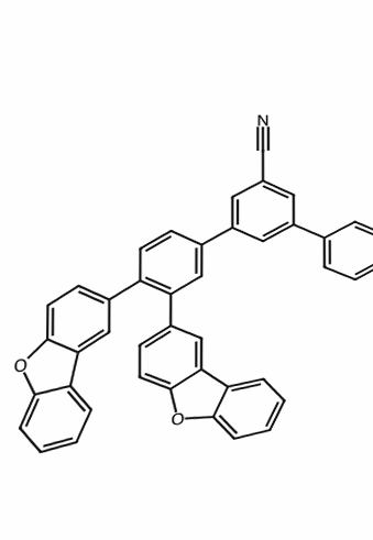 N#Cc1cc(-c2ccccc2)cc(-c2ccc(-c3ccc4oc5ccccc5c4c3)c(-c3ccc4oc5ccccc5c4c3)c2)c1